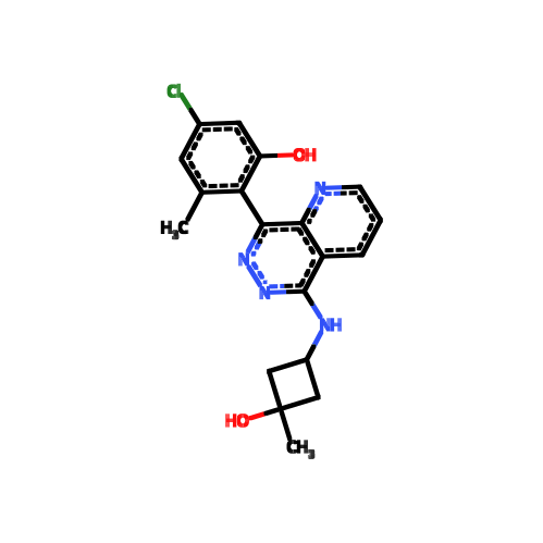 Cc1cc(Cl)cc(O)c1-c1nnc(NC2CC(C)(O)C2)c2cccnc12